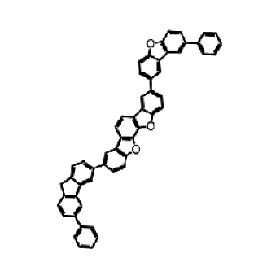 c1ccc(-c2ccc3c(c2)-c2cc(-c4ccc5oc6c(ccc7c8cc(-c9ccc%10oc%11ccc(-c%12ccccc%12)cc%11c%10c9)ccc8oc76)c5c4)ccc2C3)cc1